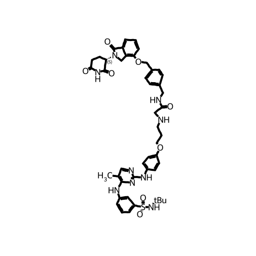 Cc1cnc(Nc2ccc(OCCCNCC(=O)NCc3ccc(COc4cccc5c4CN([C@H]4CCC(=O)NC4=O)C5=O)cc3)cc2)nc1Nc1cccc(S(=O)(=O)NC(C)(C)C)c1